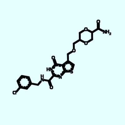 NC(=O)C1COC(COCc2csc3nc(C(=O)NCc4cccc(Cl)c4)[nH]c(=O)c23)CO1